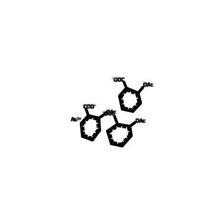 CC(=O)Oc1ccccc1C(=O)[O-].CC(=O)Oc1ccccc1C(=O)[O-].CC(=O)Oc1ccccc1C(=O)[O-].[Au+3]